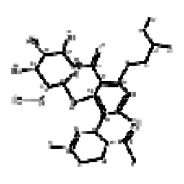 C=C(C)[C@@H]1CCC(C)=C[C@H]1c1c(O)cc(CCC(C)CC)c(C(=O)O)c1OC1O[C@H](O)[C@@H](O)[C@H](O)[C@H]1CO